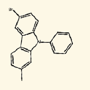 Cc1ccc2c3cc(Br)ccc3n(-c3ccccc3)c2c1